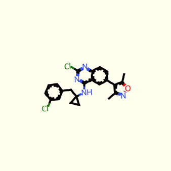 Cc1noc(C)c1-c1ccc2nc(Cl)nc(NC3(Cc4cccc(Cl)c4)CC3)c2c1